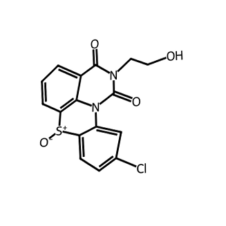 O=c1c2cccc3c2n(c(=O)n1CCO)-c1cc(Cl)ccc1[S+]3[O-]